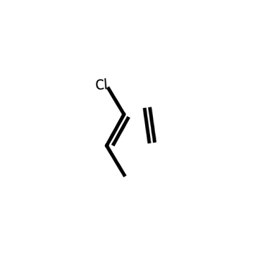 C=C.CC=CCl